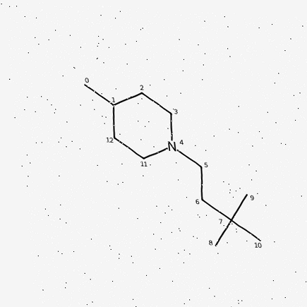 CC1CCN(CCC(C)(C)C)CC1